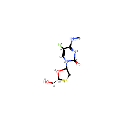 CNc1nc(=O)n(C2CS[C@H](CO)O2)cc1F